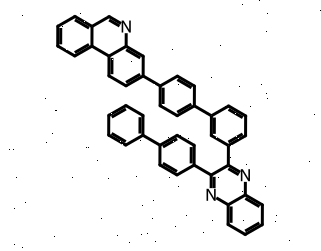 c1ccc(-c2ccc(-c3nc4ccccc4nc3-c3cccc(-c4ccc(-c5ccc6c(c5)ncc5ccccc56)cc4)c3)cc2)cc1